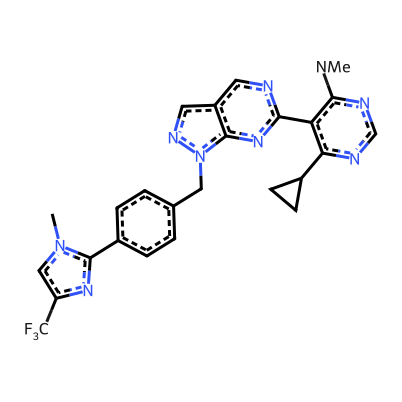 CNc1ncnc(C2CC2)c1-c1ncc2cnn(Cc3ccc(-c4nc(C(F)(F)F)cn4C)cc3)c2n1